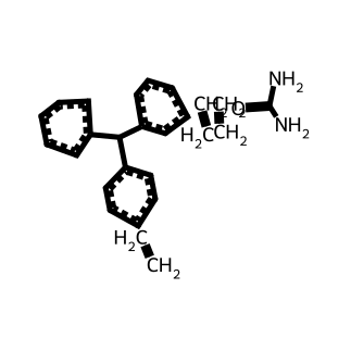 C=C.C=C.C=C.NC(N)=O.c1ccc(C(c2ccccc2)c2ccccc2)cc1